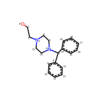 [O]CCN1CCN(C(c2ccccc2)c2ccccc2)CC1